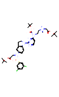 CC(C)(C)OC(=O)CN(c1ccc2c(c1)CCN2c1nccc(N(CC[N+](C)(C)CC(=O)OC(C)(C)C)C(=O)OC(C)(C)C)n1)S(=O)(=O)c1cc(Cl)cc(Cl)c1